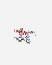 C=CCN(C)CC(=O)N1CC(c2ccc(Cl)cc2)Sc2ccccc21.O=C(O)C(=O)O